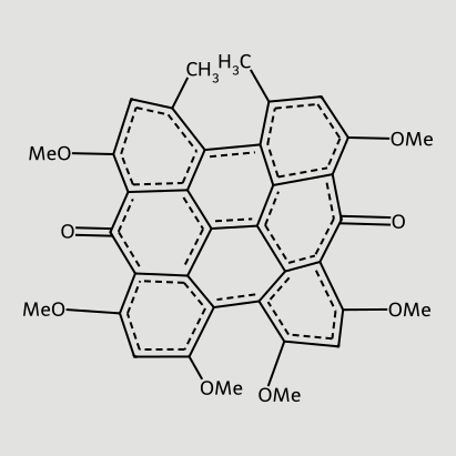 COc1cc(C)c2c3c(C)cc(OC)c4c(=O)c5c(OC)cc(OC)c6c7c(OC)cc(OC)c8c(=O)c1c2c(c87)c(c43)c56